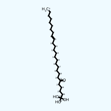 CCCCCCCCC=CCCCCCCCCCCCC(=O)CCCCC(O)(O)O